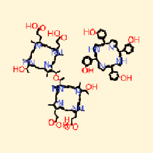 CC1=C(CCC(=O)O)c2cc3[nH]c(cc4nc(cc5[nH]c(cc1n2)c(C)c5C(C)OC(C)C1=C(C)c2cc5[nH]c(cc6nc(cc7[nH]c(cc1n2)c(C)c7CCC(=O)O)C(CCC(=O)O)=C6C)c(C)c5C(C)O)C(C)=C4C(C)O)c(C)c3CCC(=O)O.Oc1cccc(-c2c3nc(c(-c4cccc(O)c4)c4ccc([nH]4)c(-c4cccc(O)c4)c4nc(c(-c5cccc(O)c5)c5ccc2[nH]5)CC4)C=C3)c1